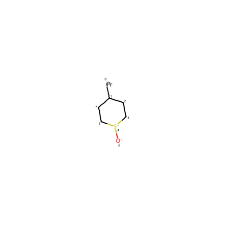 CC(C)C1CC[S+]([O-])CC1